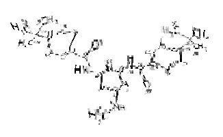 CNc1cc(NC(=O)c2ccc(C(C)(C)C)cc2)nc(NC(=O)c2ccc(C(C)(C)C)cc2)n1